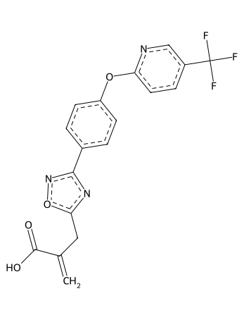 C=C(Cc1nc(-c2ccc(Oc3ccc(C(F)(F)F)cn3)cc2)no1)C(=O)O